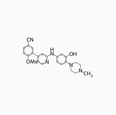 COc1ccc(C#N)cc1-c1ccnc(Nc2ccc(N3CCN(C)CC3)c(O)c2)c1